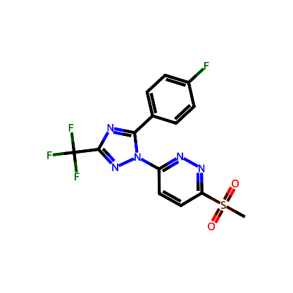 CS(=O)(=O)c1ccc(-n2nc(C(F)(F)F)nc2-c2ccc(F)cc2)nn1